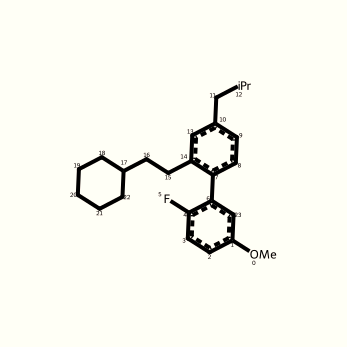 COc1ccc(F)c(-c2ccc(CC(C)C)cc2CCC2CCCCC2)c1